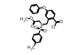 COC(=O)CN(Cc1cc(Oc2ccccc2)ccc1C(=O)Cl)S(=O)(=O)c1ccc(C)cc1